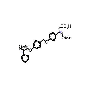 CO/N=C(\COc1ccc(COc2ccc(/C(CC(=O)O)=N\OC)cc2)cc1)c1ccccc1